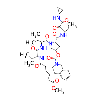 CCC(NC(=O)[C@@H]1C[C@@H](OC(=O)N2CCc3ccccc3C2)CN1C(=O)[C@@H](NC(=O)[C@@H](NC(=O)CCCCC(=O)OC)C(C)C)C(C)C)C(=O)C(=O)NC1CC1